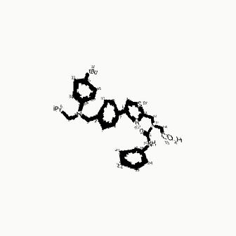 CC(C)CN(Cc1ccc(-c2csc(CN(CC(=O)O)C(=O)Nc3ccccc3)n2)cc1)c1ccc(C(C)(C)C)cc1